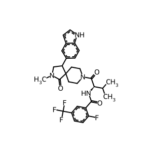 CC(C)[C@@H](NC(=O)c1cc(C(F)(F)F)ccc1F)C(=O)N1CCC2(CC1)C(=O)N(C)CC2c1ccc2[nH]ccc2c1